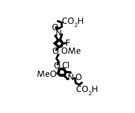 COc1cc2c(c(Cl)c1OCCCOc1cc3c(c(F)c1OC)CN(C(=O)CC(C)C(=O)O)C3)CN(C(=O)CC(C)C(=O)O)C2